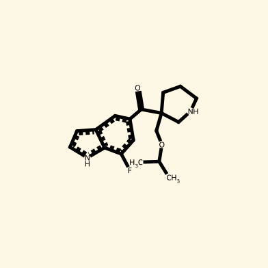 CC(C)OCC1(C(=O)c2cc(F)c3[nH]ccc3c2)CCCNC1